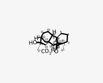 C[C@]12CCC[C@@]3(OC1=O)[C@@H]1CC[C@@H]4C[C@]1(C[C@@]4(C)O)[C@@H](C(=O)O)[C@@H]32